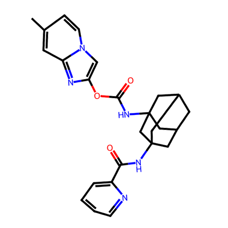 Cc1ccn2cc(OC(=O)NC34CC5CC(C3)CC(NC(=O)c3ccccn3)(C5)C4)nc2c1